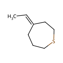 C/C=C1\CCCSCC1